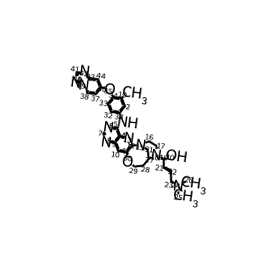 Cc1cc(Nc2ncnc3cc4c(nc23)N2CCN(C(O)/C=C/CN(C)C)C(CCO4)C2)ccc1Oc1ccn2ncnc2c1